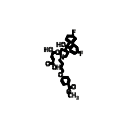 COC(=O)c1ccc(OCCCCN2CCC(C(O)(c3ccc(F)cc3)c3ccc(F)cc3)CC2)cc1.O=C(O)C=CC(=O)O